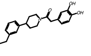 CCc1cccc(C2CCN(C(=O)Cc3ccc(O)c(O)c3)CC2)c1